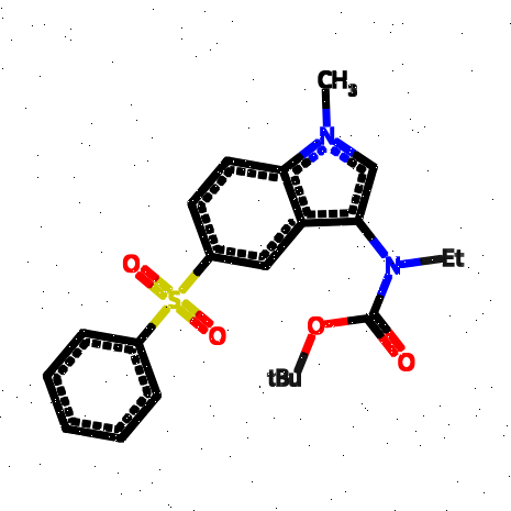 CCN(C(=O)OC(C)(C)C)c1cn(C)c2ccc(S(=O)(=O)c3ccccc3)cc12